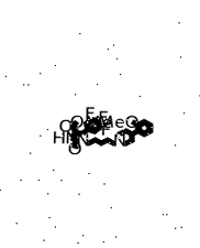 COC(=O)c1[nH]c(=O)n(CCCCCN2CCC(c3ccccc3OC)CC2)c1-c1cc(F)c(F)c(F)c1